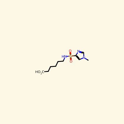 Cn1cnc(S(=O)(=O)NCCCCCC(=O)O)c1